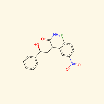 NC(=O)[C](C[C@H](O)c1ccccc1)c1cc([N+](=O)[O-])ccc1F